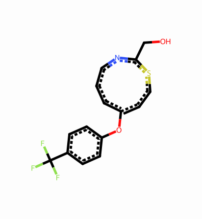 OCc1ncccc(Oc2ccc(C(F)(F)F)cc2)ccs1